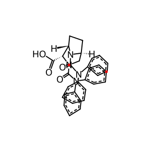 O=C(O)[C@@H]1[C@@H]2CC[C@@H](CN1C(=O)N(c1ccccc1)c1ccccc1)N2C(=O)N(c1ccccc1)c1ccccc1